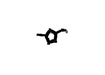 Bc1nc(C)ns1